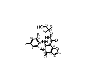 Cc1ccc(Nc2c(C(=O)NOC(C)(C)CO)c3occc3c(=O)n2C)c(F)c1